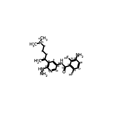 C=C(CCCN(C)C)c1cc(NC(=O)c2c(F)ccc(N)c2F)cnc1NN